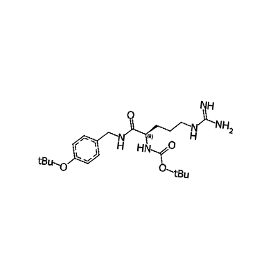 CC(C)(C)OC(=O)N[C@H](CCCNC(=N)N)C(=O)NCc1ccc(OC(C)(C)C)cc1